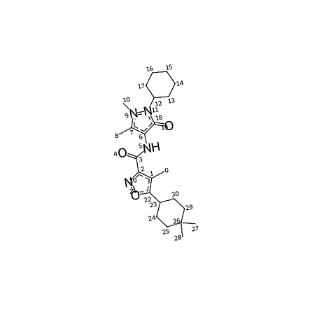 Cc1c(C(=O)Nc2c(C)n(C)n(C3CCCCC3)c2=O)noc1C1CCC(C)(C)CC1